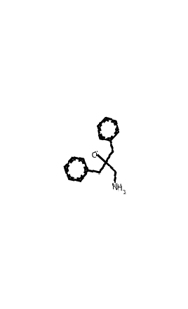 NCC(Cl)(Cc1ccccc1)Cc1ccccc1